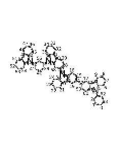 c1ccc(-n2c3ccccc3c3cc(-c4ccc5c(c4)c4ccccc4n5-c4ccc5c6ccccc6n(-c6cccc(-n7c8ccccc8c8ccccc87)c6)c5c4)ccc32)cc1